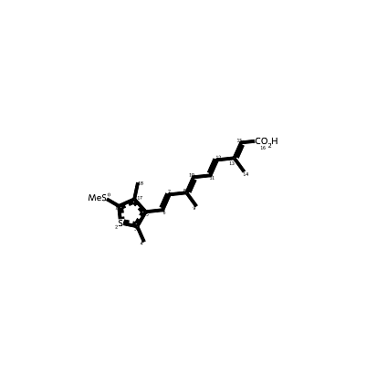 CSc1sc(C)c(/C=C/C(C)=C/C=C/C(C)=C/C(=O)O)c1C